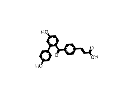 O=C(O)/C=C/c1ccc(C(=O)c2ccc(O)cc2-c2ccc(O)cc2)cc1